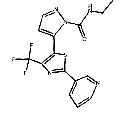 CCNC(=O)n1nccc1-c1sc(-c2cccnc2)nc1C(F)(F)F